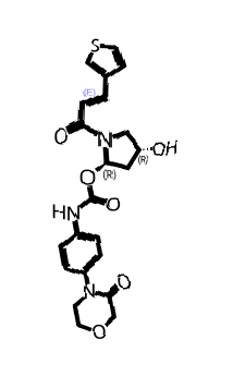 O=C(Nc1ccc(N2CCOCC2=O)cc1)O[C@@H]1C[C@@H](O)CN1C(=O)/C=C/c1ccsc1